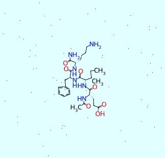 CC[C@H](C)[C@H](NC(=O)[C@H](CCC(=O)O)NC(C)=O)C(=O)N[C@@H](Cc1ccccc1)C(=O)N[C@@H](CCCCN)C(N)=O